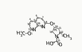 COc1ccc2ccc(O[C@@H]3C[C@H](C)N(C(=O)O)C3)nc2n1